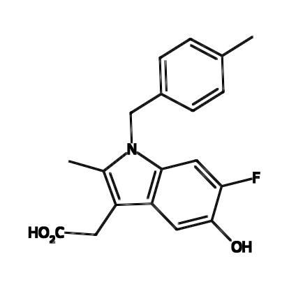 Cc1ccc(Cn2c(C)c(CC(=O)O)c3cc(O)c(F)cc32)cc1